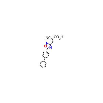 N#C/C(=C\c1noc(-c2ccc(-c3ccccc3)cc2)n1)C(=O)O